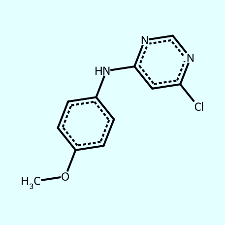 COc1ccc(Nc2cc(Cl)ncn2)cc1